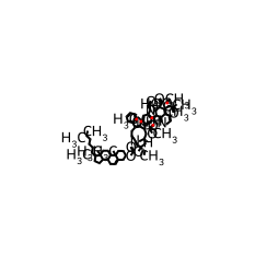 CC[C@@]1(OC(=O)OC2CCC3(C)C(=CCC4C3CCC3(C)C(C(C)CCCC(C)C)CCC43)C2)C[C@@H]2CN(CCc3c([nH]c4ccccc34)[C@](C(=O)OC)(c3cc4c(cc3OC)N(C=O)[C@@H]3[C@](O)(C(=O)OC)[C@@H](OC(C)=O)[C@@]5(C)C=CCN6CC[C@@]43[C@H]65)C2)C1